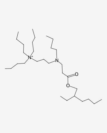 CCCCC(CC)COC(=O)CCN(CCCC)CCC[N+](CCCC)(CCCC)CCCC